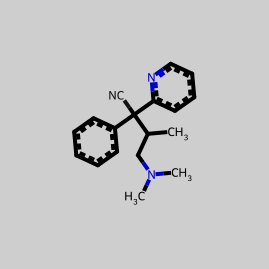 CC(CN(C)C)C(C#N)(c1ccccc1)c1ccccn1